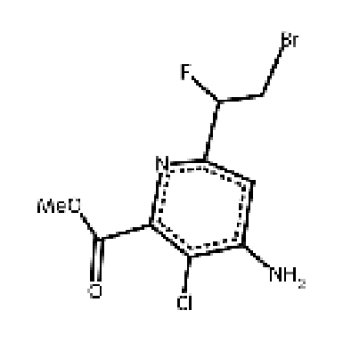 COC(=O)c1nc(C(F)CBr)cc(N)c1Cl